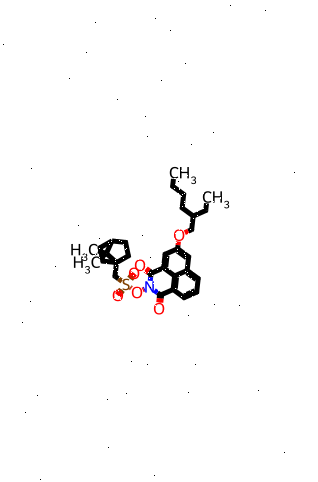 CCCCC(CC)COc1cc2c3c(cccc3c1)C(=O)N(OS(=O)(=O)CC13CCC(CC1)C3(C)C)C2=O